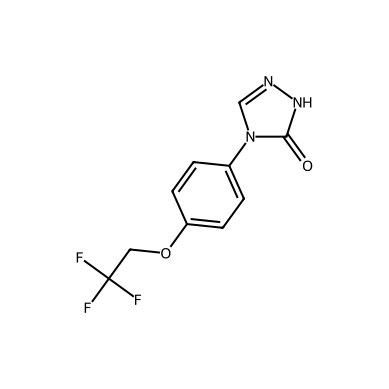 O=c1[nH]ncn1-c1ccc(OCC(F)(F)F)cc1